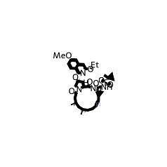 CCOc1cc2cc(OC)ccc2c(O[C@@H]2C[C@H]3C(=O)N[C@]4(C(=O)NS(=O)(=O)C5(C)CC5)CC4/C=C\CC[C@@H](C)C[C@@H](C)CC(=O)N3C2)n1